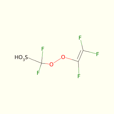 O=S(=O)(O)C(F)(F)OOC(F)=C(F)F